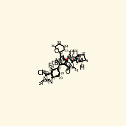 CN(C(=O)OC(C)(C)C)[C@@H]1C[C@@H]2CC[C@H]1N2c1nc2c(c(-c3ccc4nn(C)c(Cl)c4c3F)nn2C2CCCCO2)c(=O)n1C